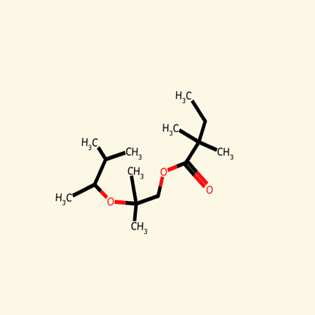 CCC(C)(C)C(=O)OCC(C)(C)OC(C)C(C)C